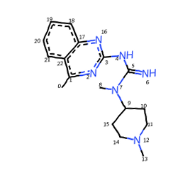 Cc1nc(NC(=N)N(C)C2CCN(C)CC2)nc2ccccc12